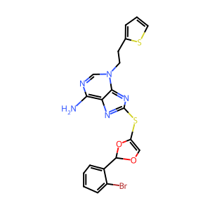 Nc1ncn(CCc2cccs2)c2nc(SC3=COC(c4ccccc4Br)O3)nc1-2